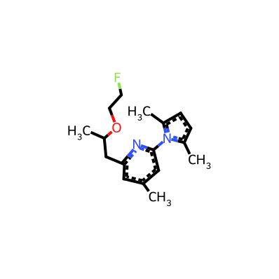 Cc1cc(CC(C)OCCF)nc(-n2c(C)ccc2C)c1